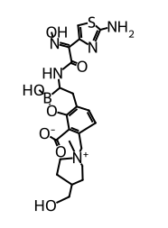 C[N+]1(Cc2ccc3c(c2C(=O)[O-])OB(O)C(NC(=O)C(=NO)c2csc(N)n2)C3)CCC(CO)CC1